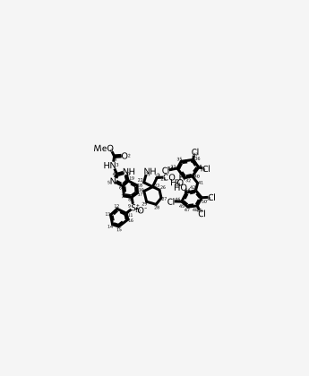 COC(=O)Nc1nc2cc([S+]([O-])c3ccccc3)ccc2[nH]1.NCC1(CC(=O)O)CCCCC1.Oc1c(Cl)cc(Cl)c(Cl)c1Cc1c(O)c(Cl)cc(Cl)c1Cl